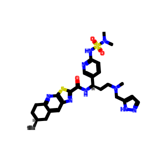 CN(CC[C@@H](NC(=O)c1nc2cc3c(nc2s1)CC[C@H](C(C)(C)C)C3)c1ccc(NS(=O)(=O)N(C)C)nc1)Cc1ccn[nH]1